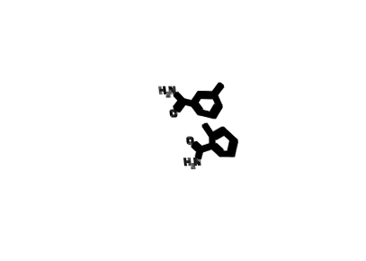 Cc1cccc(C(N)=O)c1.Cc1ccccc1C(N)=O